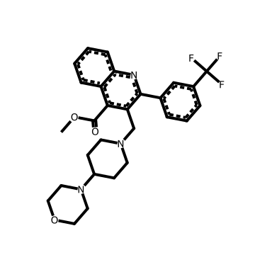 COC(=O)c1c(CN2CCC(N3CCOCC3)CC2)c(-c2cccc(C(F)(F)F)c2)nc2ccccc12